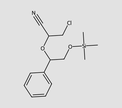 C[Si](C)(C)OCC(OC(C#N)CCl)c1ccccc1